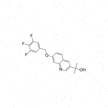 CC(C)(O)c1cnc2cc(OCc3cc(F)c(F)c(F)c3)ccc2c1